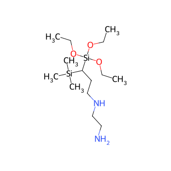 CCO[Si](OCC)(OCC)C(CCNCCN)[Si](C)(C)C